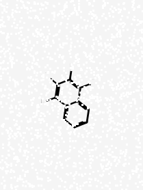 C[CH]c1c(F)c(F)c(F)c2ccccc12